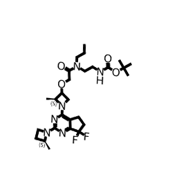 CCCN(CCNC(=O)OC(C)(C)C)C(=O)COC1CN(c2nc(N3CC[C@@H]3C)nc3c2CCC3(F)F)[C@H]1C